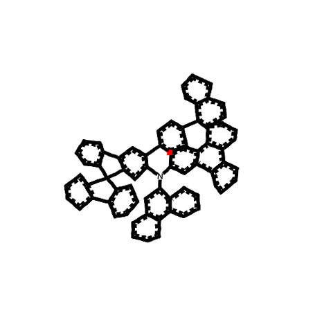 c1ccc2c(c1)-c1ccccc1C21c2ccccc2-c2cc(-c3ccc(-c4cccc5ccccc45)cc3)c(N(c3ccc4c5ccccc5c5ccccc5c4c3)c3cc4ccccc4c4ccccc34)cc21